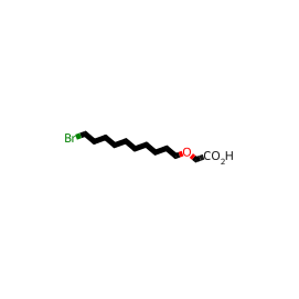 O=C(O)COCCCCCCCCCCBr